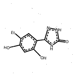 CCc1cc(-c2n[nH]c(=O)[nH]2)c(O)cc1O